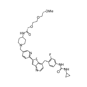 COCCOCCOCC(=O)NC1CCN(Cc2ccc(-c3cc4nccc(Cc5ccc(NC(=O)NC6CC6)cc5F)c4s3)nc2)CC1